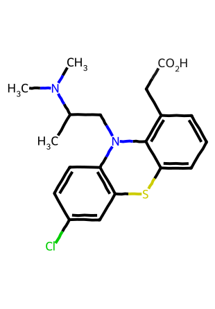 CC(CN1c2ccc(Cl)cc2Sc2cccc(CC(=O)O)c21)N(C)C